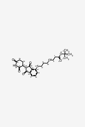 CC(C)(C)OC(=O)CCOCCCSc1cccc2c1C(=O)N(C1CCC(=O)NC1=O)C2=O